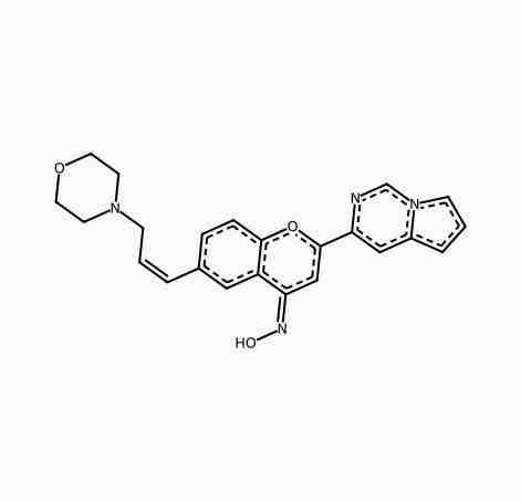 O/N=c1/cc(-c2cc3cccn3cn2)oc2ccc(/C=C\CN3CCOCC3)cc12